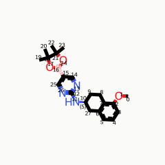 COc1cccc2c1CC[C@H](Nc1ncc(B3OC(C)(C)C(C)(C)O3)cn1)C2